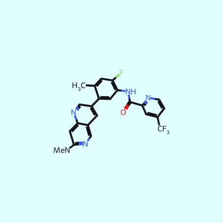 CNc1cc2ncc(-c3cc(NC(=O)c4cc(C(F)(F)F)ccn4)c(F)cc3C)cc2cn1